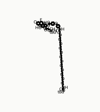 CC(C)(C)OC(=O)NCCOCCOCCOCCOCCOCCOCCOCCOCCOCCOCCOCCOCCC(=O)Nc1ccc(Oc2ccc(C(O)O[C@@H]3CC4[C@@H]5C[C@H](F)C6=CC(=O)C=C[C@]6(C)[C@@]5(F)[C@@H](O)C[C@]4(C)[C@H]3C(=O)CO[Si](C)(C)C(C)(C)C)cc2)cc1